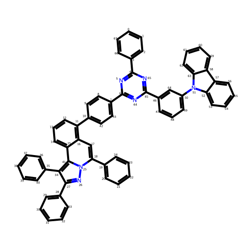 c1ccc(-c2nc(-c3ccc(-c4cccc5c4cc(-c4ccccc4)n4nc(-c6ccccc6)c(-c6ccccc6)c54)cc3)nc(-c3cccc(-n4c5ccccc5c5ccccc54)c3)n2)cc1